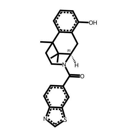 CC12CCN(C(=O)c3ccc4ncsc4c3)[C@H](Cc3c(O)cccc31)C2(C)C